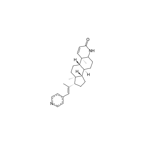 C/C(=C\c1ccncc1)[C@H]1CC[C@H]2[C@@H]3CCC4NC(=O)C=C[C@]4(C)[C@H]3CC[C@]12C